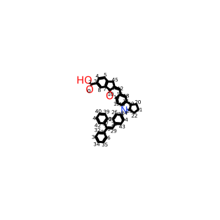 O=C(O)c1ccc2c(c1)C(=O)/C(=C\c1ccc3c(c1)C1CCCC1N3c1ccc(C=C(c3ccccc3)c3ccccc3)cc1)C2